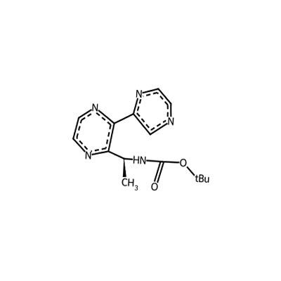 C[C@H](NC(=O)OC(C)(C)C)c1nccnc1-c1cnccn1